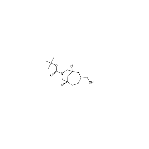 CC(C)(C)OC(=O)N1C[C@H]2C[C@H](CO)CC[C@@H](C2)C1